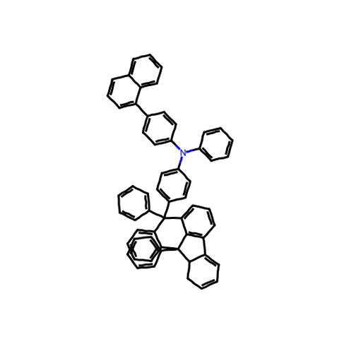 C1=CCC2C(=C1)c1cccc3c1C2(c1ccccc1)c1ccccc1C3(c1ccccc1)c1ccc(N(c2ccccc2)c2ccc(-c3cccc4ccccc34)cc2)cc1